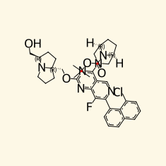 CC(C)(C)OC(=O)N1[C@@H]2CC[C@H]1CN(c1nc(OC[C@]34CCCN3[C@@H](CO)CC4)nc3c(F)c(-c4cccc5cccc(Cl)c45)ncc13)C2